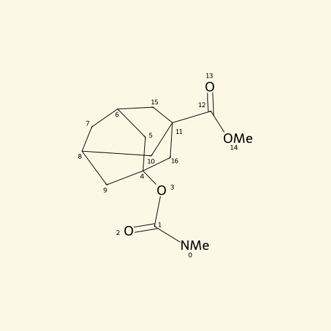 CNC(=O)OC12CC3CC(C1)CC(C(=O)OC)(C3)C2